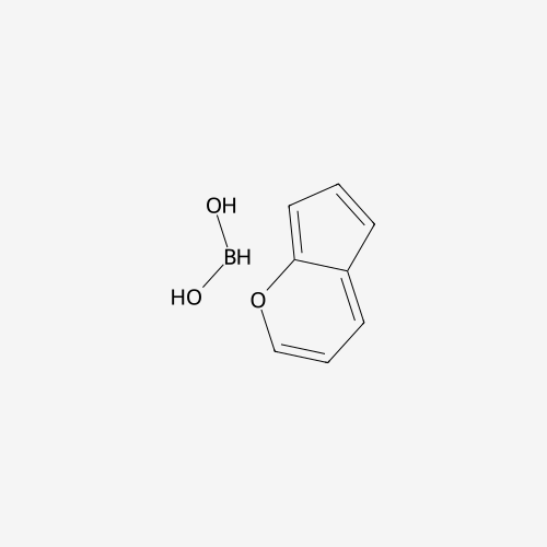 OBO.c1coc2cccc-2c1